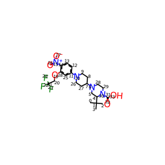 CC(C)(C)C1CN(C2CCN(c3ccc([N+](=O)[O-])c(OCC(F)(F)F)c3)CC2)CCN1C(=O)O